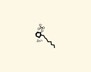 CCCCCCCCc1ccccc1OP(=O)([O-])[O-].[Zn+2]